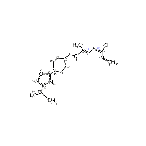 C=N/C(Cl)=C\C=C(/C)OCC1CCN(c2nc(C(C)C)no2)CC1